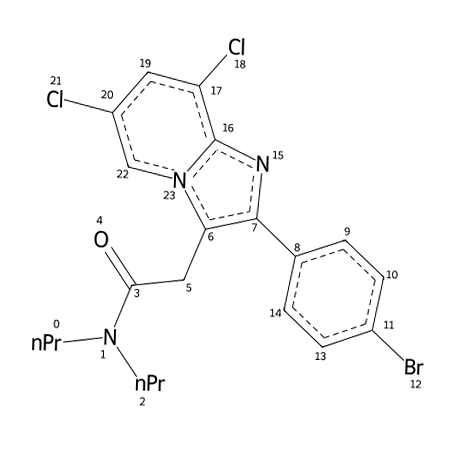 CCCN(CCC)C(=O)Cc1c(-c2ccc(Br)cc2)nc2c(Cl)cc(Cl)cn12